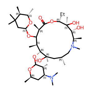 CC[C@H]1OC(=O)[C@H](C)C(O[C@H]2CC(C)(C)[C@@H](C)[C@H](C)O2)[C@H](C)[C@@H](OC2O[C@H](C)C[C@H](N(C)C)[C@H]2C)[C@](C)(O)C[C@@H](C)CN(C)[C@H](C)[C@@H](O)[C@]1(C)O